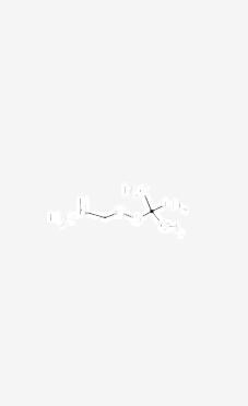 CNCOOC(C)(C)C